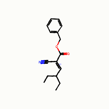 CCC(/C=C(\C#N)C(=O)OCc1ccccc1)CC